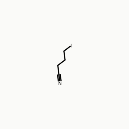 N#CCCCI